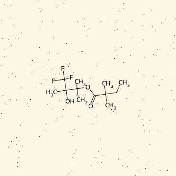 CCC(C)(C)C(=O)OC(C)(C)C(C)(O)C(F)(F)F